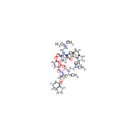 CC(C)N(CCN(C)C)C(=O)N(CCOc1cccc2c1CCC2)OC(=O)/C=C\C(=O)ON(CCOc1cccc2c1CCC2)C(=O)N(CCN(C)C)C(C)C